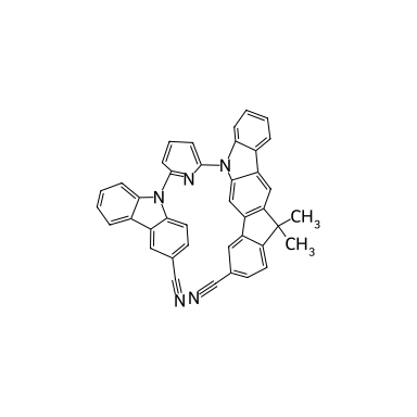 CC1(C)c2ccc(C#N)cc2-c2cc3c(cc21)c1ccccc1n3-c1cccc(-n2c3ccccc3c3cc(C#N)ccc32)n1